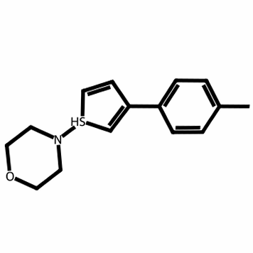 Cc1ccc(C2=C[SH](N3CCOCC3)C=C2)cc1